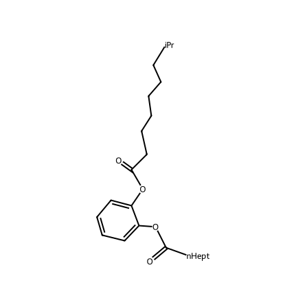 CCCCCCCC(=O)Oc1ccccc1OC(=O)CCCCCCC(C)C